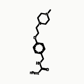 CCCCCC(=O)NCc1ccc(OCCN2CCN(C)CC2)cc1